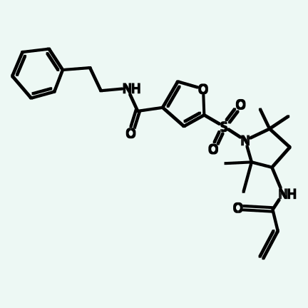 C=CC(=O)NC1CC(C)(C)N(S(=O)(=O)c2cc(C(=O)NCCc3ccccc3)co2)C1(C)C